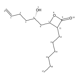 C=CCC[C@H](O)CC1OC(=O)C1CCCCCC